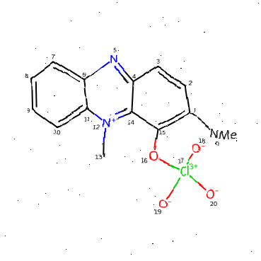 CNc1ccc2nc3ccccc3[n+](C)c2c1O[Cl+3]([O-])([O-])[O-]